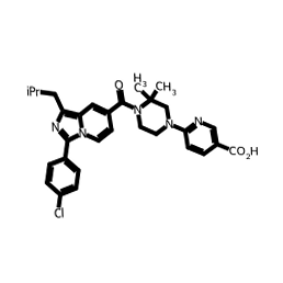 CC(C)Cc1nc(-c2ccc(Cl)cc2)n2ccc(C(=O)N3CCN(c4ccc(C(=O)O)cn4)CC3(C)C)cc12